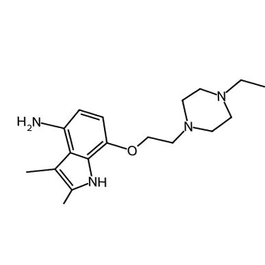 CCN1CCN(CCOc2ccc(N)c3c(C)c(C)[nH]c23)CC1